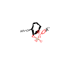 COc1ccccc1OS(=O)(=O)[O-].O.[K+]